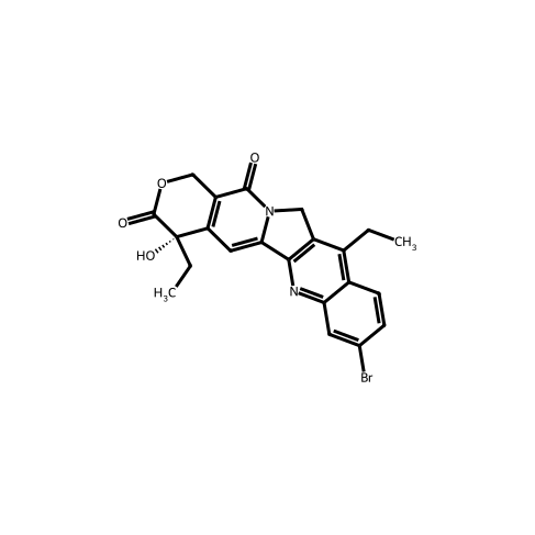 CCc1c2c(nc3cc(Br)ccc13)-c1cc3c(c(=O)n1C2)COC(=O)[C@]3(O)CC